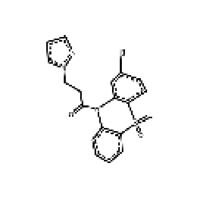 O=C(CCn1cccn1)N1c2ccccc2S(=O)(=O)c2ccc(Cl)cc21